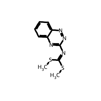 CSC(=Nc1nnc2ccccc2n1)SC